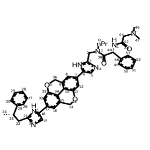 CCCN(Cc1ncc(-c2cc3c4c(c2)OCc2cc(-c5cnc(C[C@H](C)c6ccccc6)[nH]5)cc(c2-4)OC3)[nH]1)C(=O)[C@H](NC(=O)CN(C)C)c1ccccc1